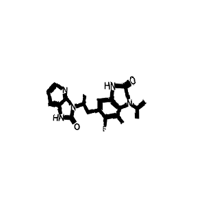 Cc1c(F)c(CC(C)n2c(=O)[nH]c3cccnc32)cc2[nH]c(=O)n(C(C)C)c12